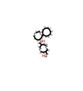 C1CCCCCCCCC1.C1CCCCCCCCC1.OCC1CCCCC(CO)CCCC1